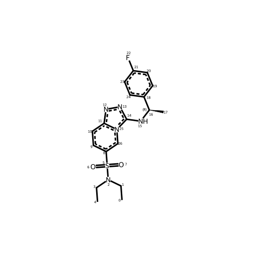 CCN(CC)S(=O)(=O)c1ccc2nnc(N[C@H](C)c3ccc(F)cc3)n2c1